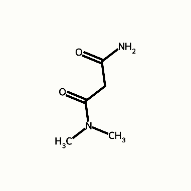 CN(C)C(=O)CC(N)=O